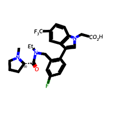 CCN(Cc1cc(F)ccc1-c1cn(CC(=O)O)c2ccc(C(F)(F)F)cc12)C(=O)[C@@H]1CCCN1C